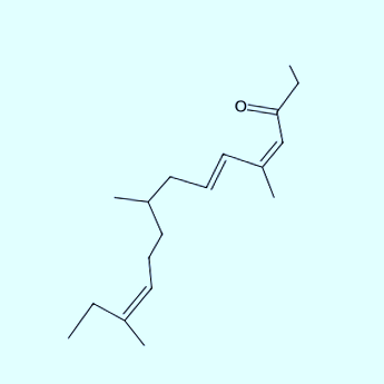 CCC(=O)C=C(C)C=CCC(C)CCC=C(C)CC